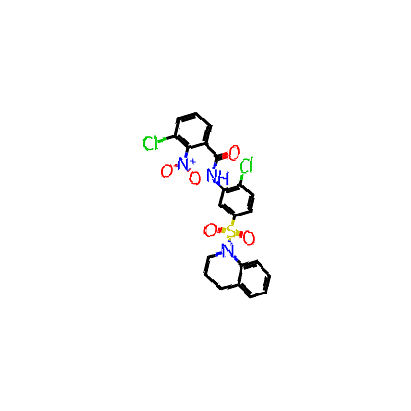 O=C(Nc1cc(S(=O)(=O)N2CCCc3ccccc32)ccc1Cl)c1cccc(Cl)c1[N+](=O)[O-]